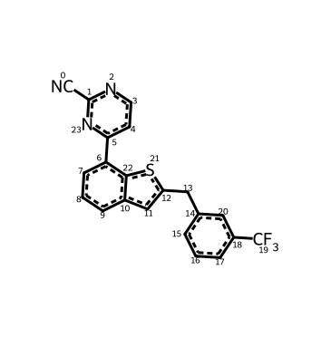 N#Cc1nccc(-c2cccc3cc(Cc4cccc(C(F)(F)F)c4)sc23)n1